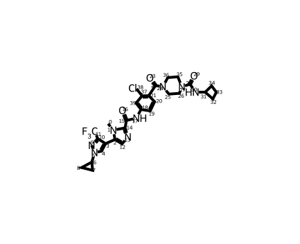 Cn1c(-c2cn(C3CC3)nc2C(F)(F)F)cnc1C(=O)Nc1ccc(C(=O)N2CCN(C(=O)NC3CCC3)CC2)c(Cl)c1